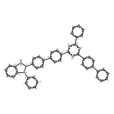 c1ccc(-c2ccc(-c3nc(-c4ccccc4)nc(-c4ccc(-c5ccc(C6Nc7ccccc7N6c6ccccc6)cc5)cc4)n3)cc2)cc1